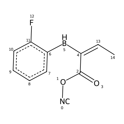 [C-]#[N+]OC(=O)C(Bc1ccccc1F)=CC